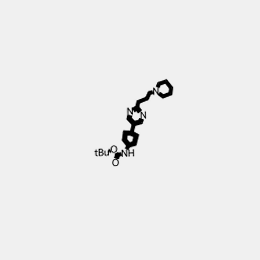 CC(C)(C)OC(=O)Nc1ccc(-c2cnc(CCCN3CCCCC3)nc2)cc1